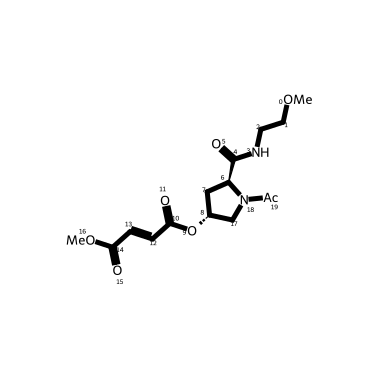 COCCNC(=O)[C@@H]1C[C@@H](OC(=O)/C=C/C(=O)OC)CN1C(C)=O